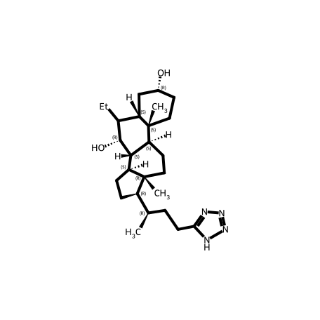 CCC1[C@@H](O)[C@@H]2[C@H](CC[C@]3(C)[C@@H]([C@H](C)CCc4nnn[nH]4)CC[C@@H]23)[C@@]2(C)CC[C@@H](O)C[C@@H]12